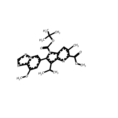 COC(=O)c1nc2c(C(C)C)c(-c3cc(OC)c4ncnn4c3)n(C(=O)OC(C)(C)C)c2cc1C